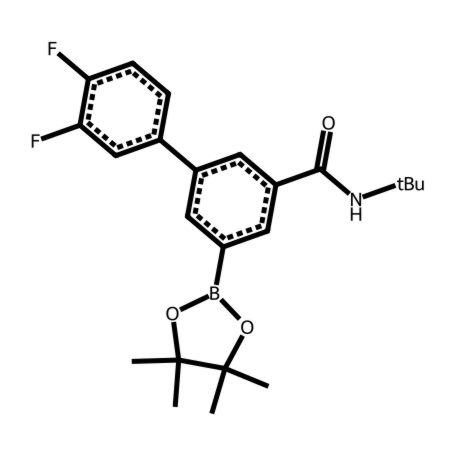 CC(C)(C)NC(=O)c1cc(B2OC(C)(C)C(C)(C)O2)cc(-c2ccc(F)c(F)c2)c1